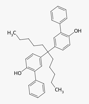 CCCCCC(CCCCC)(c1ccc(O)c(-c2ccccc2)c1)c1ccc(O)c(-c2ccccc2)c1